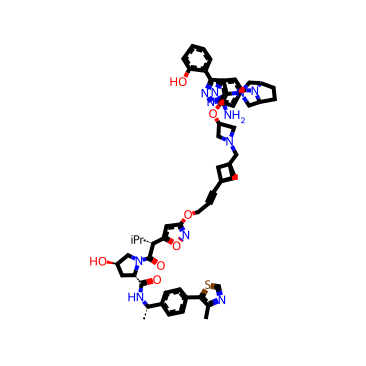 Cc1ncsc1-c1ccc([C@H](C)NC(=O)[C@@H]2C[C@@H](O)CN2C(=O)[C@@H](c2cc(OCC#CC34CC(CN5CC(Oc6cc(N7C8CCC7CN(c7cc(-c9ccccc9O)nnc7N)C8)ccn6)C5)(C3)C4)no2)C(C)C)cc1